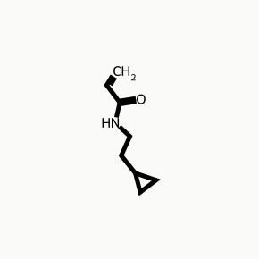 C=CC(=O)NCCC1CC1